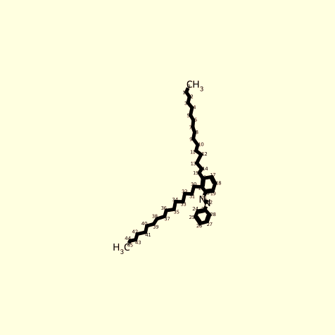 CCCCCCCCCCCCCCCCc1cccc(N=Nc2ccccc2)c1CCCCCCCCCCCCCCCC